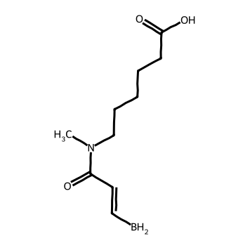 B/C=C/C(=O)N(C)CCCCCC(=O)O